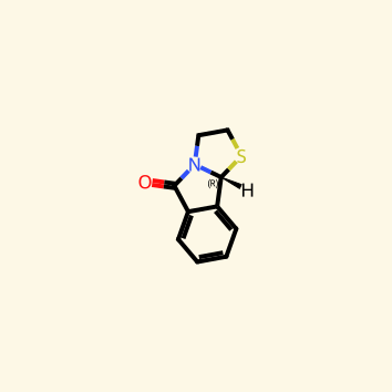 O=C1c2ccccc2[C@H]2SCCN12